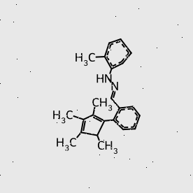 CC1=C(C)C(C)C(c2ccccc2/C=N/Nc2ccccc2C)=C1C